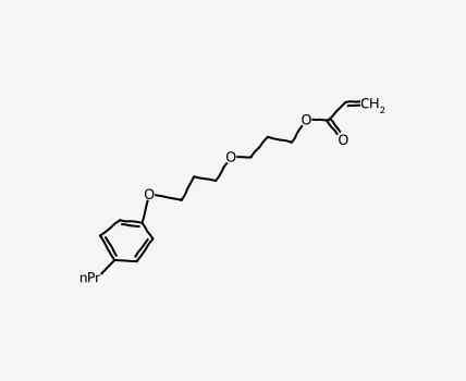 C=CC(=O)OCCCOCCCOc1ccc(CCC)cc1